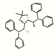 C[C@@H]([C@H]1OC(C)(C)O[C@@H]1[C@H](C)P(c1ccccc1)c1ccccc1)P(c1ccccc1)c1ccccc1